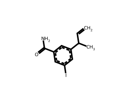 C=C[C](C)c1cc(I)cc(C(N)=O)c1